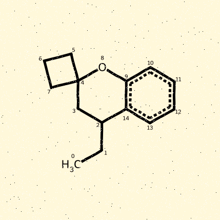 CCC1CC2(CCC2)Oc2ccccc21